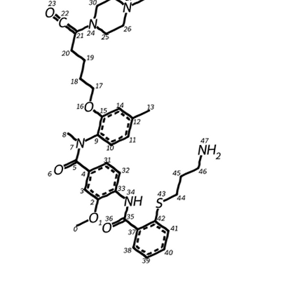 COc1cc(C(=O)N(C)c2ccc(C)cc2OCCCCC(=C=O)N2CCN(C)CC2)ccc1NC(=O)c1ccccc1SCCCN